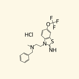 CN(CCn1c(=N)sc2cc(OC(F)(F)F)ccc21)Cc1ccccc1.Cl